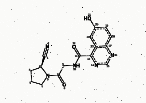 N#C[C@@H]1CCCN1C(=O)CNC(=O)c1ncnc2ccc(O)cc12